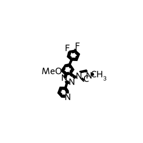 COc1cc(-c2ccc(F)c(F)c2)cc2c(N3CCN(C)CC3)nc(-c3cccnc3)nc12